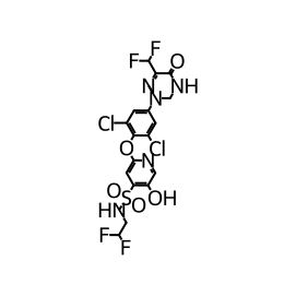 O=C1NCN(c2cc(Cl)c(Oc3cc(S(=O)(=O)NCC(F)F)c(O)cn3)c(Cl)c2)N=C1C(F)F